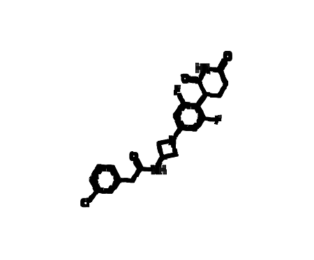 O=C1CCC(c2c(F)cc(N3CC(NC(=O)Cc4cccc(Cl)c4)C3)cc2F)C(=O)N1